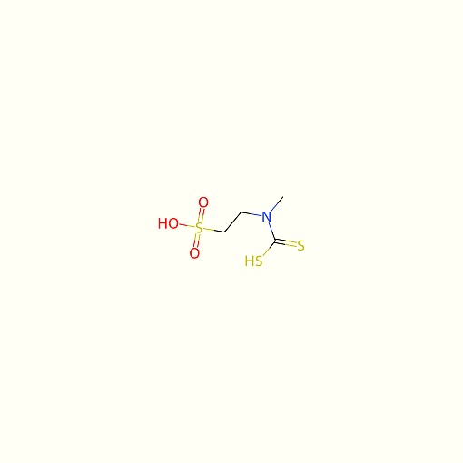 CN(CCS(=O)(=O)O)C(=S)S